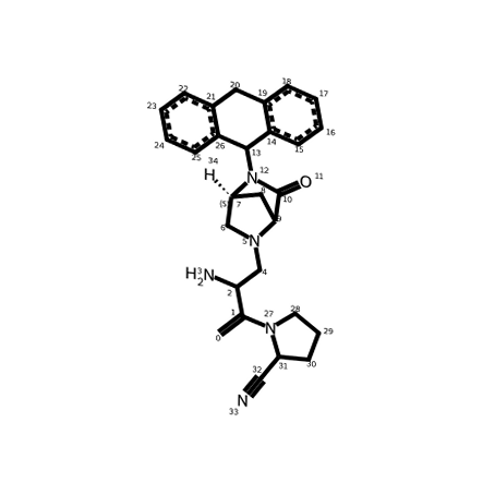 C=C(C(N)CN1C[C@@H]2CC1C(=O)N2C1c2ccccc2Cc2ccccc21)N1CCCC1C#N